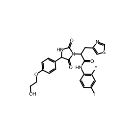 O=C(Nc1ccc(I)cc1F)C(Cc1cscn1)N1C(=O)NC(c2ccc(OCCO)cc2)C1=O